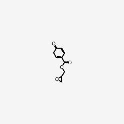 O=C1C=CC(C(=O)OCC2CO2)=CC1